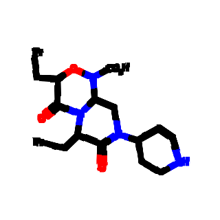 CC(C)CC1ON(C(=O)O)C2CN(C3CCNCC3)C(=O)C(CC(C)C)N2C1=O